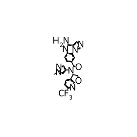 Cn1cc(N(C(=O)c2ccc3nc(N)c4cncn4c3c2)[C@@H]2COc3nc(C(F)(F)F)ccc32)cn1